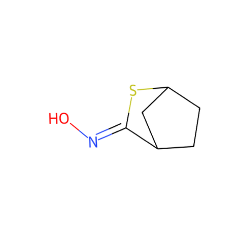 ON=C1SC2CCC1C2